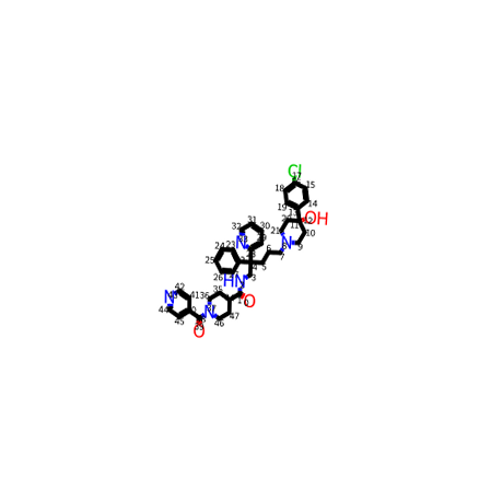 O=C(NCC(CCCN1CCC(O)(c2ccc(Cl)cc2)CC1)(c1ccccc1)c1ccccn1)C1CCN(C(=O)c2ccncc2)CC1